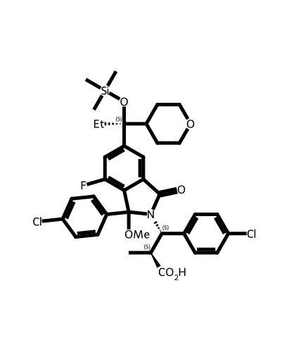 CC[C@@](O[Si](C)(C)C)(c1cc(F)c2c(c1)C(=O)N([C@H](c1ccc(Cl)cc1)[C@H](C)C(=O)O)C2(OC)c1ccc(Cl)cc1)C1CCOCC1